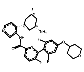 C[C@@H]1C[C@H](N)C[C@H](c2ccncc2NC(=O)c2ccc(F)c(-c3c(F)cc(OC4CCOCC4)cc3F)n2)C1